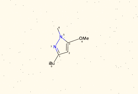 CCC(C)c1cc(OC)n(C)n1